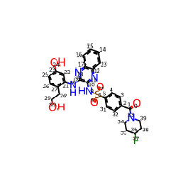 O=C(c1ccc(S(=O)(=O)Nc2nc3ccccc3nc2Nc2cc(O)ccc2CCO)cc1)N1CCC(F)CC1